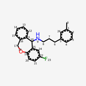 Cc1cccc(CCCNC2c3ccccc3COc3ccc(F)cc32)c1